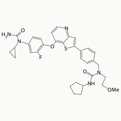 COCCN(Cc1ccc(-c2cc3nccc(Oc4ccc(N(C(N)=O)C5CC5)cc4F)c3s2)cc1)C(=O)NC1CCCC1